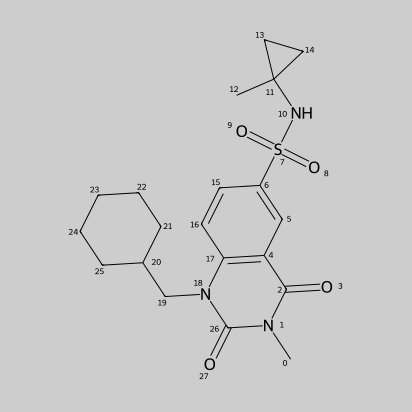 Cn1c(=O)c2cc(S(=O)(=O)NC3(C)CC3)ccc2n(CC2CCCCC2)c1=O